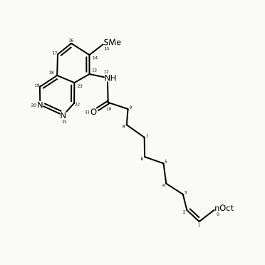 CCCCCCCC/C=C\CCCCCCCC(=O)Nc1c(SC)ccc2cnncc12